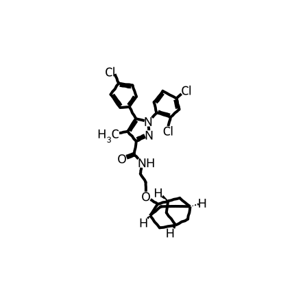 Cc1c(C(=O)NCCOC2[C@H]3C[C@@H]4C[C@@H](C[C@H]2C4)C3)nn(-c2ccc(Cl)cc2Cl)c1-c1ccc(Cl)cc1